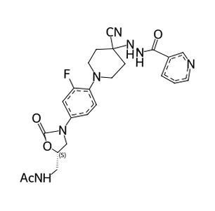 CC(=O)NC[C@H]1CN(c2ccc(N3CCC(C#N)(NNC(=O)c4cccnc4)CC3)c(F)c2)C(=O)O1